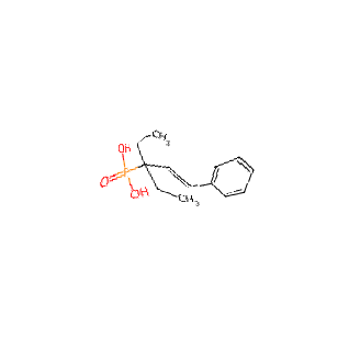 CCC(C=Cc1ccccc1)(CC)P(=O)(O)O